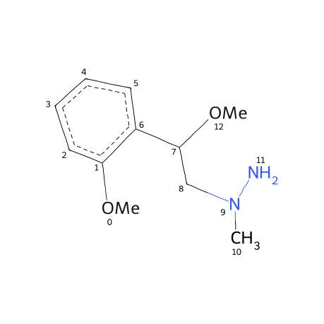 COc1ccccc1C(CN(C)N)OC